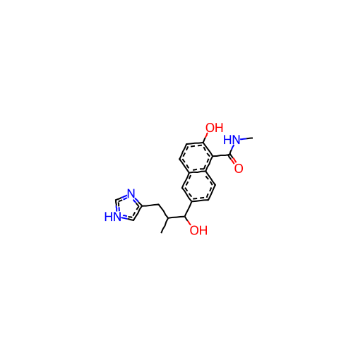 CNC(=O)c1c(O)ccc2cc(C(O)C(C)Cc3c[nH]cn3)ccc12